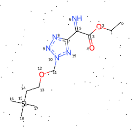 CCOC(=O)C(=N)c1nnn(COCC[Si](C)(C)C)n1